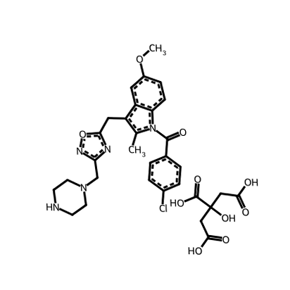 COc1ccc2c(c1)c(Cc1nc(CN3CCNCC3)no1)c(C)n2C(=O)c1ccc(Cl)cc1.O=C(O)CC(O)(CC(=O)O)C(=O)O